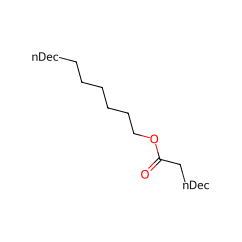 CCCCCCCCCCCCCCCCOC(=O)CCCCCCCCCCC